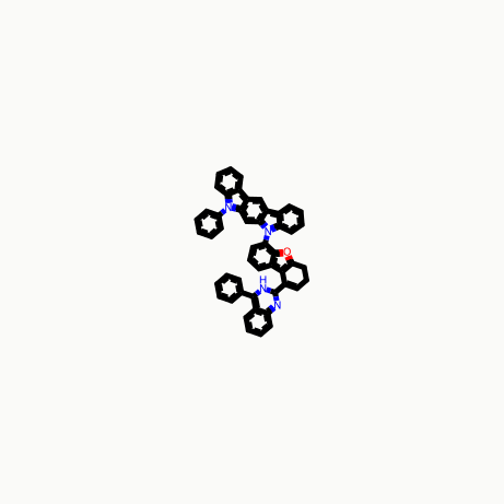 C1=C(C2N=c3ccccc3=C(c3ccccc3)N2)c2c(oc3c(-n4c5ccccc5c5cc6c7ccccc7n(-c7ccccc7)c6cc54)cccc23)CC1